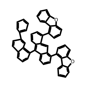 c1ccc(-c2ccc3cccc(-c4c5cccc(-c6cccc7oc8ccccc8c67)c5cc5c(-c6cccc7oc8ccccc8c67)cccc45)c3c2)cc1